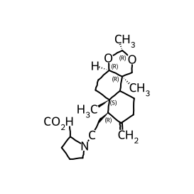 C=C1CCC2[C@]3(C)CO[C@@H](C)O[C@@H]3CC[C@@]2(C)[C@@H]1CCN1CCCC1C(=O)O